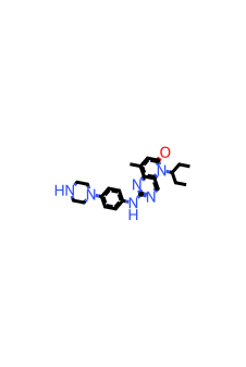 CCC(CC)n1c(=O)cc(C)c2nc(Nc3ccc(N4CCNCC4)cc3)ncc21